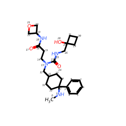 CNC1(c2ccccc2)CCC(CN(CCC(=O)NC2COC2)C(=O)NCC2(O)CCC2)CC1